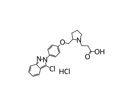 Cl.O=C(O)CCN1CCCC1COc1ccc(-n2nc3ccccc3c2Cl)cc1